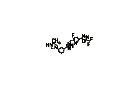 C[C@@H]1CN(c2cccc(-c3cn(Cc4ncc(-c5nnc(C(F)F)o5)cc4F)nn3)c2)CCN1